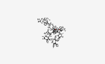 CC(C)(C)OC(=O)N1CC2CC(c3cnc(N4CC[C@@H](Oc5c(F)ccc(F)c5Cl)C4)s3)=C(C(=O)N(Cc3cccc(Cl)c3Cl)C3CC3)C(C1)N2C(=O)OC(C)(C)C